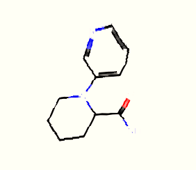 NC(=O)C1C[C]CCN1c1cccnc1